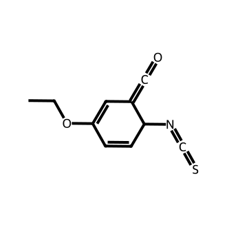 CCOC1=CC(=C=O)C(N=C=S)C=C1